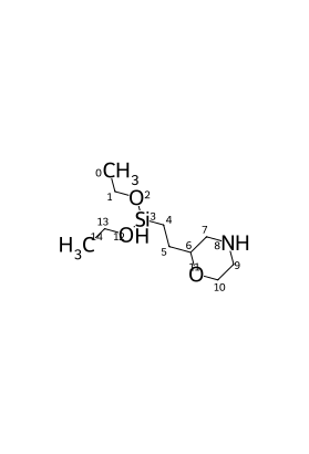 CCO[SiH](CCC1CNCCO1)OCC